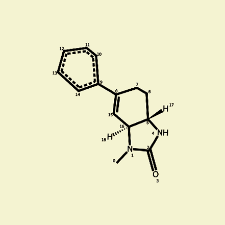 CN1C(=O)N[C@H]2CCC(c3ccccc3)=C[C@@H]21